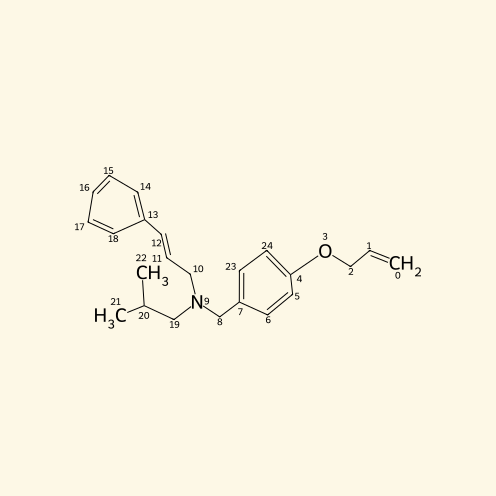 C=CCOc1ccc(CN(C/C=C/c2ccccc2)CC(C)C)cc1